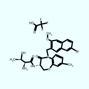 COc1cc2ccc(Br)cc2cc1CN1C(=O)[C@@H](NC(=O)[C@@H](N)[C@@H](C)O)COc2cc(C)ccc21.O=C(O)C(F)(F)F